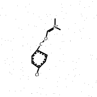 C[N+](C)=COCc1ccc(Cl)cc1